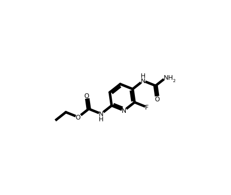 CCOC(=O)Nc1ccc(NC(N)=O)c(F)n1